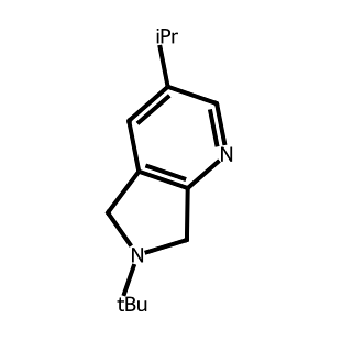 CC(C)c1cnc2c(c1)CN(C(C)(C)C)C2